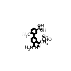 Cc1ccc(B(O)O)cc1-c1ccc2c(N)nnc(C)c2c1.O=CO